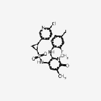 Cc1cc(NS(=O)(=O)C2CC2c2ccc(Cl)nc2)c(Nc2ccc(I)cc2F)n(C)c1=O